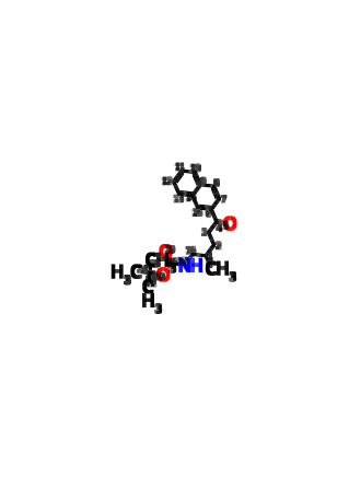 CC(CCC(=O)c1ccc2ccccc2c1)CNC(=O)OC(C)(C)C